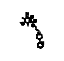 COC1=C(C)NC(=O)N(C(=O)OCCCN2CCC(c3ccccn3)CC2)C1C